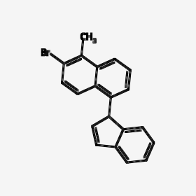 Cc1c(Br)ccc2c(C3C=Cc4ccccc43)cccc12